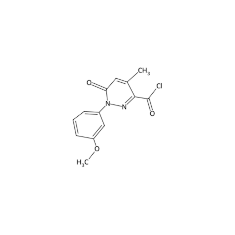 COc1cccc(-n2nc(C(=O)Cl)c(C)cc2=O)c1